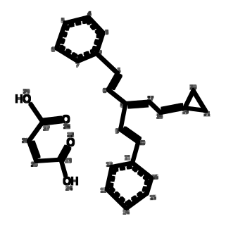 C(=Cc1ccccc1)C(C=Cc1ccccc1)=CC=C1CC1.O=C(O)/C=C\C(=O)O